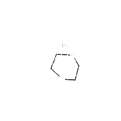 C1COCCO1.[Pb]